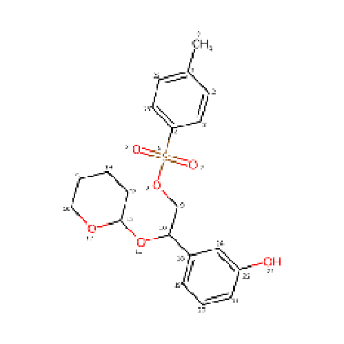 Cc1ccc(S(=O)(=O)OCC(OC2CCCCO2)c2cccc(O)c2)cc1